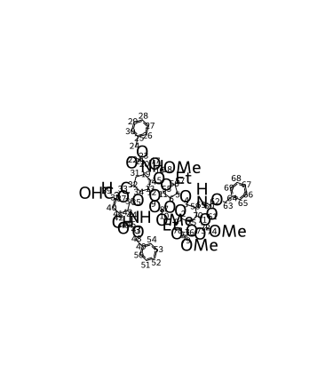 CC[C@@H]1O[C@H](O[C@H]2[C@@H](OC(=O)OC)[C@H](O[C@@H]3[C@@H](OC(=O)OC)[C@H](NC(=O)OCc4ccccc4)C[C@H](C)[C@H]3O[C@H]3OC(C=O)=C[C@H](C)[C@H]3NC(=O)OCc3ccccc3)O[C@@H]2CC)[C@H](NC(=O)OCc2ccccc2)[C@@H](OC(=O)OC)[C@@H]1OC(=O)OC